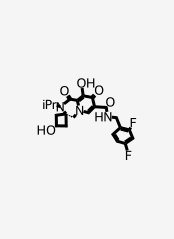 CC(C)N1C(=O)c2c(O)c(=O)c(C(=O)NCc3ccc(F)cc3F)cn2C[C@]12C[C@@H](O)C2